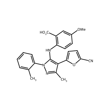 COc1ccc(Nc2c(-c3ccc(C#N)o3)c(C)nn2-c2ccccc2C)c(C(=O)O)c1